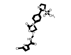 CS(=O)(=O)N1CCN=C1c1ccc(N2C[C@H](CNC(=O)c3ccc(Cl)s3)OC2=O)cc1